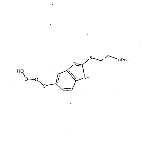 CCCCCCCCCCCCSc1nc2cc(SOOO)ccc2[nH]1